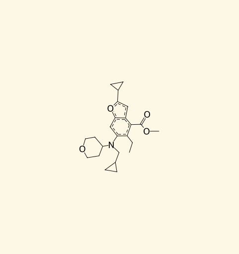 CCc1c(N(CC2CC2)C2CCOCC2)cc2oc(C3CC3)cc2c1C(=O)OC